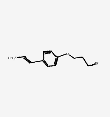 O=C(O)C=Cc1ccc(OCCCBr)cc1